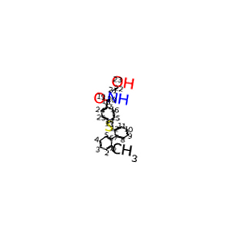 Cc1ccccc1-c1ccccc1Sc1ccc(C(=O)NCCO)cc1